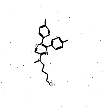 Cc1ccc(-c2ncc(N(C)CCCCO)nc2-c2ccc(C)cc2)cc1